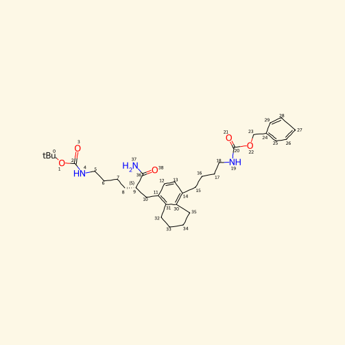 CC(C)(C)OC(=O)NCCCC[C@@H](Cc1ccc(CCCCNC(=O)OCc2ccccc2)c2c1CCCC2)C(N)=O